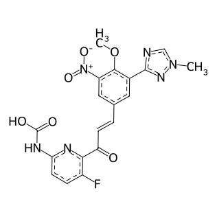 COc1c(-c2ncn(C)n2)cc(/C=C/C(=O)c2nc(NC(=O)O)ccc2F)cc1[N+](=O)[O-]